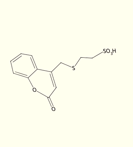 O=c1cc(CSCCS(=O)(=O)O)c2ccccc2o1